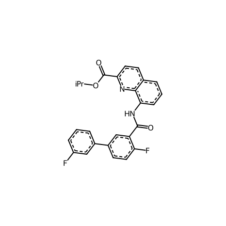 CC(C)OC(=O)c1ccc2cccc(NC(=O)c3cc(-c4cccc(F)c4)ccc3F)c2n1